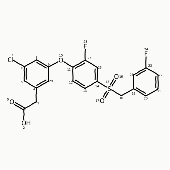 O=C(O)Cc1cc(Cl)cc(Oc2ccc(S(=O)(=O)Cc3cccc(F)c3)cc2F)c1